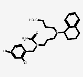 NC(=O)N(CCCN(CCCC(=O)O)C1CCCc2ccccc21)Cc1ccc(Cl)cc1Cl